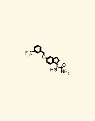 NC(=O)N(O)C1CCc2cc(OCc3cccc(C(F)(F)F)c3)ccc21